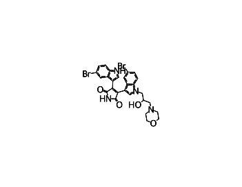 O=C1NC(=O)C(c2cn(CC(O)CN3CCOCC3)c3ccc(Br)cc23)=C1c1c[nH]c2ccc(Br)cc12